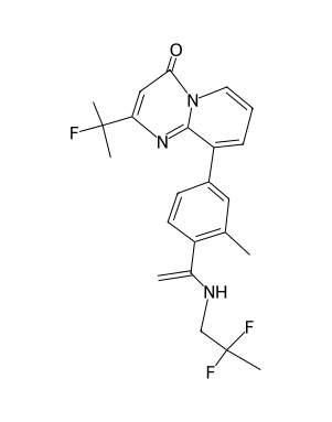 C=C(NCC(C)(F)F)c1ccc(-c2cccn3c(=O)cc(C(C)(C)F)nc23)cc1C